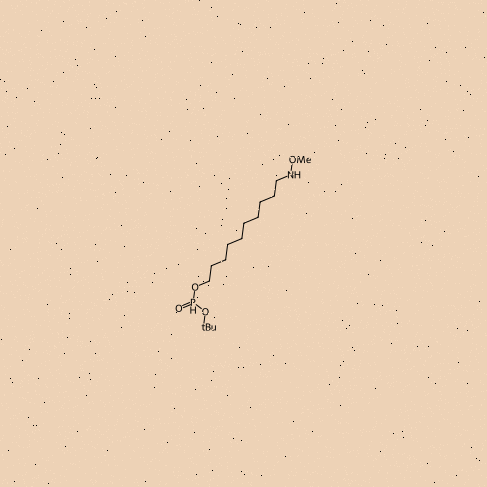 CONCCCCCCCCCCO[PH](=O)OC(C)(C)C